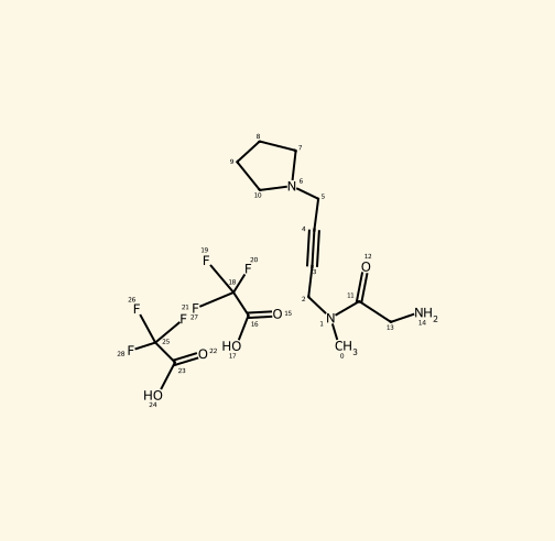 CN(CC#CCN1CCCC1)C(=O)CN.O=C(O)C(F)(F)F.O=C(O)C(F)(F)F